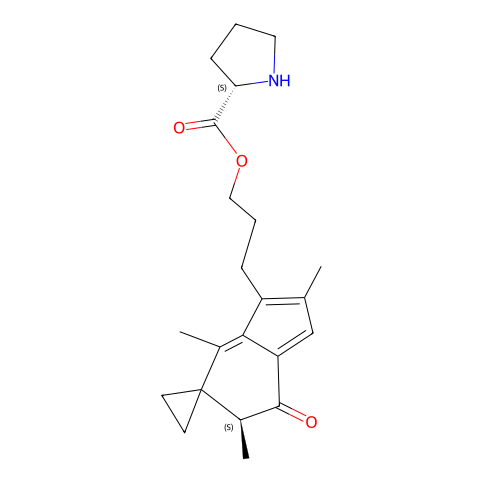 CC1=C(CCCOC(=O)[C@@H]2CCCN2)C2=C(C)C3(CC3)[C@H](C)C(=O)C2=C1